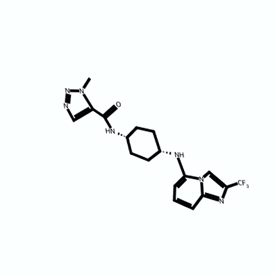 Cn1nncc1C(=O)N[C@H]1CC[C@@H](Nc2cccc3nc(C(F)(F)F)cn23)CC1